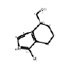 OC[C@H]1CCCc2c1ccnc2Cl